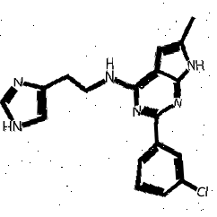 Cc1cc2c(NCCc3c[nH]cn3)nc(-c3cccc(Cl)c3)nc2[nH]1